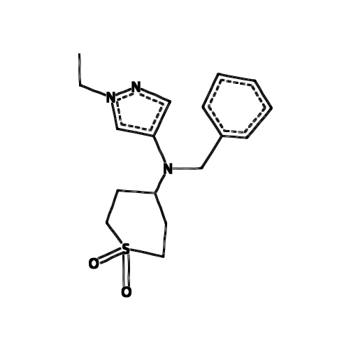 CCn1cc(N(Cc2ccccc2)C2CCS(=O)(=O)CC2)cn1